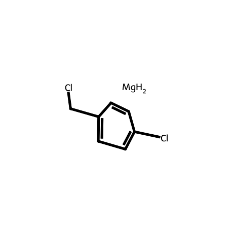 ClCc1ccc(Cl)cc1.[MgH2]